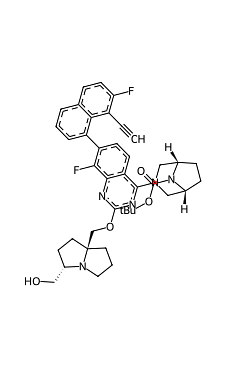 C#Cc1c(F)ccc2cccc(-c3ccc4c(N5C[C@H]6CC[C@@H](C5)N6C(=O)OC(C)(C)C)nc(OC[C@@]56CCCN5[C@H](CO)CC6)nc4c3F)c12